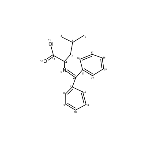 CC(C)CC(N=C(c1ccccc1)c1ccccc1)C(=O)O